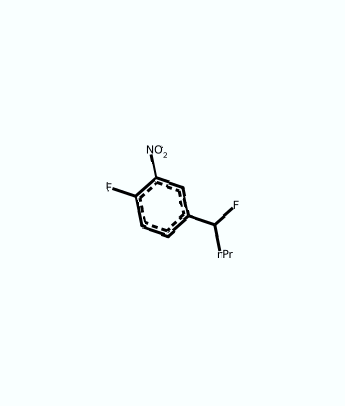 CCCC(F)c1ccc(F)c([N+](=O)[O-])c1